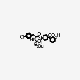 CC(C)(C)OC(=O)N[C@H](Cc1ccc(Cl)cc1)C(=O)NN1CCC(C(=O)O)(C2CCCCC2)CC1